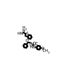 COc1ccc(NC(=O)OCC(Oc2cccc3c2CC(C(=N)N)S3)c2ccccc2)c(C)c1